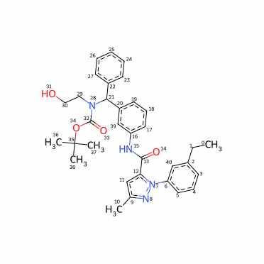 CCc1cccc(-n2nc(C)cc2C(=O)Nc2cccc(C(c3ccccc3)N(CCO)C(=O)OC(C)(C)C)c2)c1